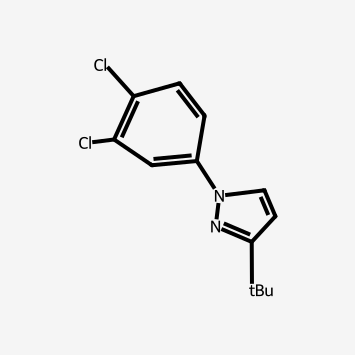 CC(C)(C)c1ccn(-c2ccc(Cl)c(Cl)c2)n1